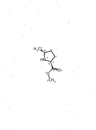 COC(=O)[C@@H]1CC[C@H](C)N1